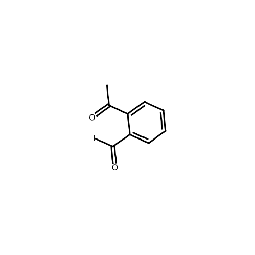 CC(=O)c1ccccc1C(=O)I